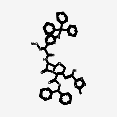 CON=C(C(=O)NC1C(=O)N2C(C(=O)OC(c3ccccc3)c3ccccc3)=C(C=C(S)c3nnc(C)s3)COC12)c1csc(NC(c2ccccc2)(c2ccccc2)c2ccccc2)n1